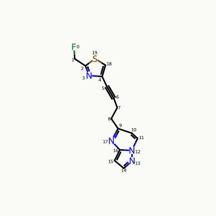 FCc1nc(C#CCCc2ccn3nccc3n2)cs1